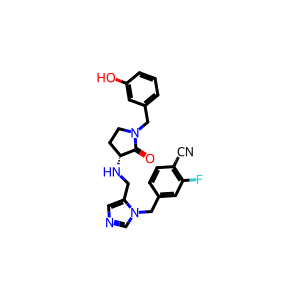 N#Cc1ccc(Cn2cncc2CN[C@@H]2CCN(Cc3cccc(O)c3)C2=O)cc1F